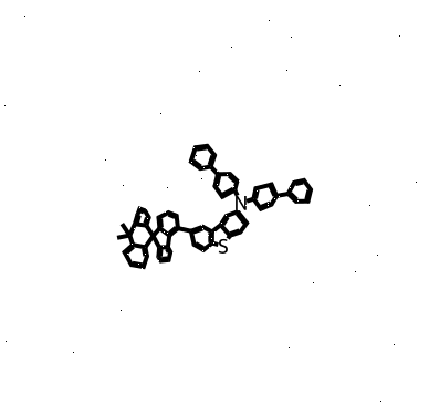 CC1(C)c2ccccc2C2(c3ccccc3-c3c(-c4ccc5sc6ccc(N(c7ccc(-c8ccccc8)cc7)c7ccc(-c8ccccc8)cc7)cc6c5c4)cccc32)c2ccccc21